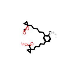 Cc1ccc(CCCCCC2(C(=O)O)CC2)cc1CCCCCC1(OC=O)CC1